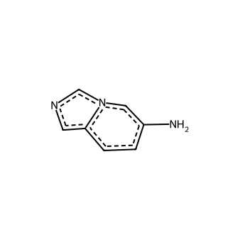 Nc1ccc2cncn2c1